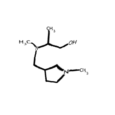 CC(CO)N(C)CC1CCN(C)C1